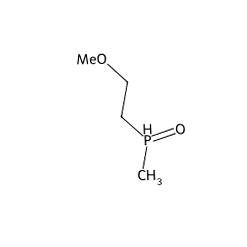 COCC[PH](C)=O